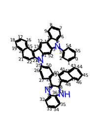 c1ccc(-n2c3ccccc3c3cc4c5c6ccccc6ccc5n(-c5ccc(C6=Nc7ccccc7NC6c6ccc7ccccc7c6)cc5)c4cc32)cc1